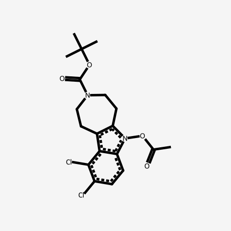 CC(=O)On1c2c(c3c(Cl)c(Cl)ccc31)CCN(C(=O)OC(C)(C)C)CC2